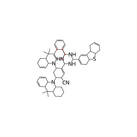 CC1(C)C2=C(CCCC2)N(C2CC(N3C4C=CC=CC4C(C)(C)C4CCCCC43)C(C#N)C=C2C2NC(C3=CCC4SC5CC=CCC5C4=C3)NC(c3ccccc3)N2)C2C=CCCC21